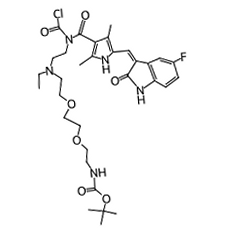 CCN(CCOCCOCCNC(=O)OC(C)(C)C)CCN(C(=O)Cl)C(=O)c1c(C)[nH]c(/C=C2\C(=O)Nc3ccc(F)cc32)c1C